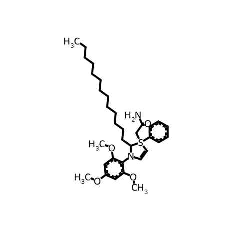 CCCCCCCCCCCCCC1N(c2c(OC)cc(OC)cc2OC)C=CS1(CC(N)=O)c1ccccc1